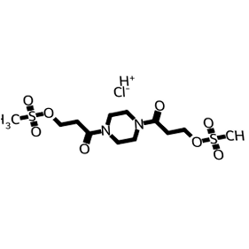 CS(=O)(=O)OCCC(=O)N1CCN(C(=O)CCOS(C)(=O)=O)CC1.[Cl-].[H+]